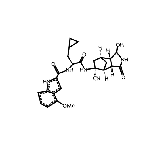 COc1cccc2[nH]c(C(=O)N[C@@H](CC3CC3)C(=O)N[C@@]3(C#N)C[C@@H]4C[C@H]3[C@H]3C(=O)NC(O)[C@@H]43)cc12